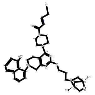 O=C(/C=C/CF)N1CCN(c2nc(OCCCN3C[C@@H]4C[C@H]3CO4)nc3c2CCN(c2cccc4cccc(Cl)c24)C3)CC1